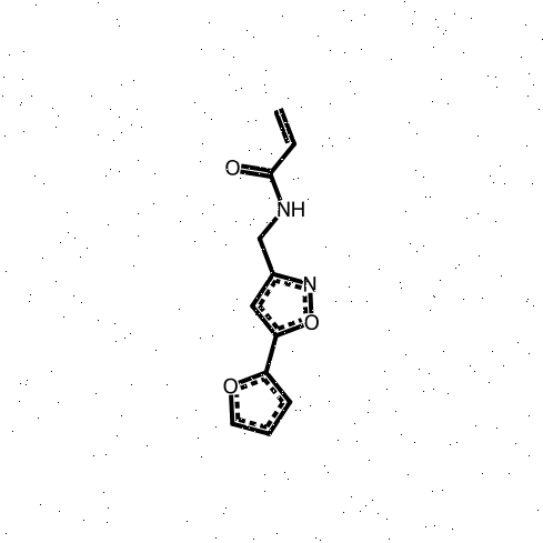 C=CC(=O)NCc1cc(-c2ccco2)on1